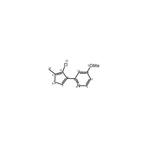 COc1ccnc(-c2csc(C)c2Cl)c1